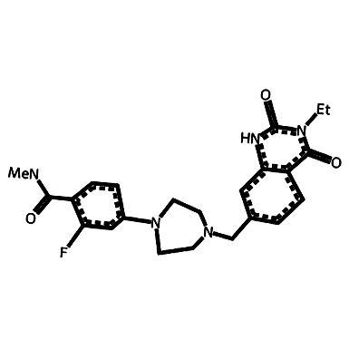 CCn1c(=O)[nH]c2cc(CN3CCN(c4ccc(C(=O)NC)c(F)c4)CC3)ccc2c1=O